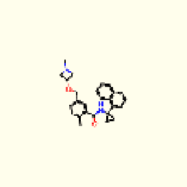 Cc1ccc(COC2CN(C)C2)cc1C(=O)NC1(c2cccc3ccccc23)CC1